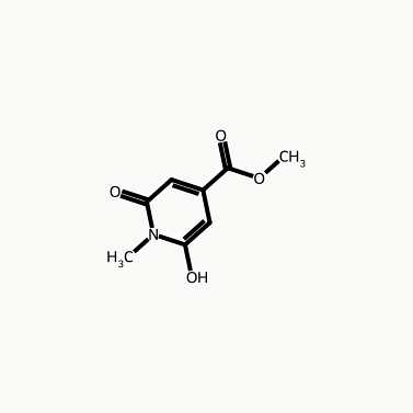 COC(=O)c1cc(O)n(C)c(=O)c1